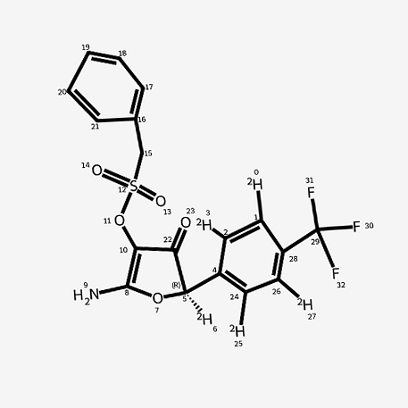 [2H]c1c([2H])c([C@@]2([2H])OC(N)=C(OS(=O)(=O)Cc3ccccc3)C2=O)c([2H])c([2H])c1C(F)(F)F